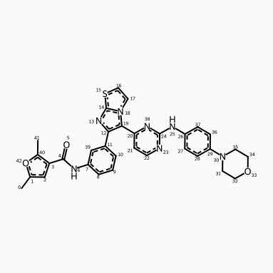 Cc1cc(C(=O)Nc2cccc(-c3nc4sccn4c3-c3ccnc(Nc4ccc(N5CCOCC5)cc4)n3)c2)c(C)o1